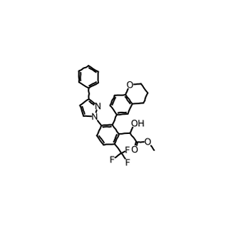 COC(=O)C(O)c1c(C(F)(F)F)ccc(-n2ccc(-c3ccccc3)n2)c1-c1ccc2c(c1)CCCO2